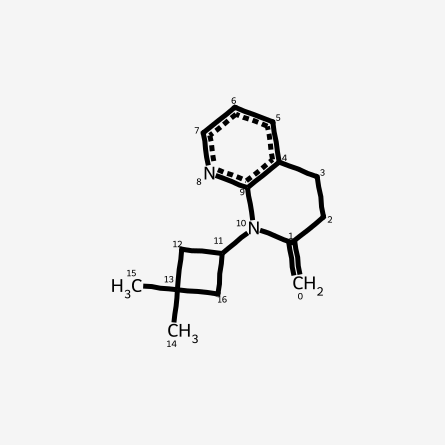 C=C1CCc2cccnc2N1C1CC(C)(C)C1